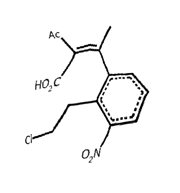 CC(=O)C(C(=O)O)=C(C)c1cccc([N+](=O)[O-])c1CCCl